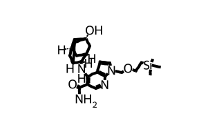 C[Si](C)(C)CCOCn1ccc2c(N[C@H]3[C@@H]4C[C@H]5C[C@H]3C[C@@](O)(C5)C4)c(C(N)=O)cnc21